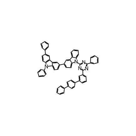 c1ccc(-c2ccc(-c3cccc(-c4nc(-c5ccccc5)nc(-n5c6ccccc6c6cc(-c7ccc8c(c7)c7cc(-c9ccccc9)ccc7n8-c7ccccc7)ccc65)n4)c3)cc2)cc1